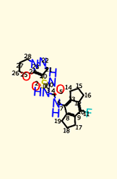 N=[S@](=O)(NC(=O)Nc1c2c(c(F)c3c1CCC3)CCC2)c1cnn2c1OCCC2